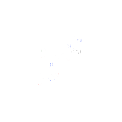 Cl.O=C1CC[C@H](N2Cc3c(ccc4c3OC[C@H]3CNCCN43)C2=O)C(=O)N1